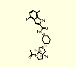 CC(=O)N1CC[C@@H]2CN([C@H]3CCC[C@@H](NC(=O)c4cc5c(F)ccc(C)c5[nH]4)C3)C[C@@H]21